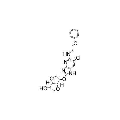 O[C@@H]1CO[C@H]2[C@@H]1OC[C@H]2Oc1nc2nc(NCCOc3ccccc3)c(Cl)cc2[nH]1